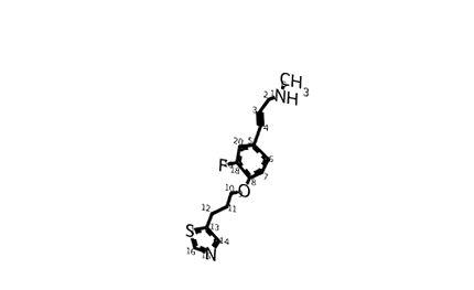 CNCC#Cc1ccc(OCCCc2cncs2)c(F)c1